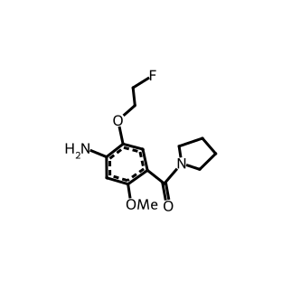 COc1cc(N)c(OCCF)cc1C(=O)N1CCCC1